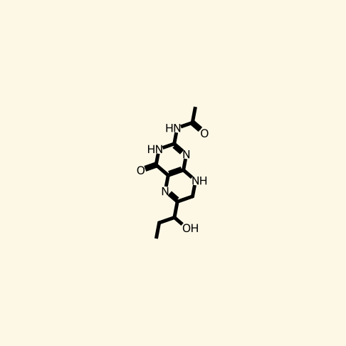 CCC(O)C1=Nc2c(nc(NC(C)=O)[nH]c2=O)NC1